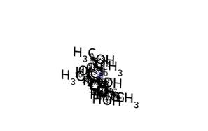 CC[C@@H](O)[C@H]1OC(=O)[C@H](CC)[C@H]2CC[C@H]3[C@H]4O[C@]2(/C(C)=C/[C@H]1C)[C@@H]3[C@H](O)[C@@H](COC)[C@H]4O